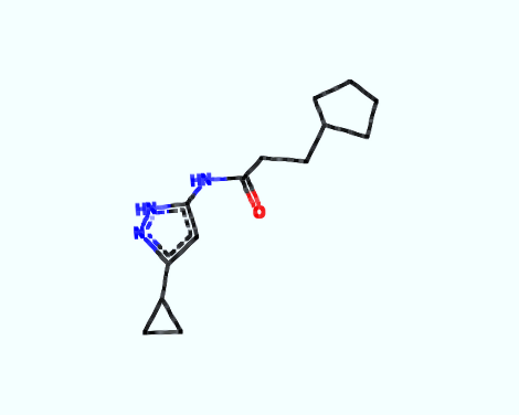 O=C(CCC1CCCC1)Nc1cc(C2CC2)n[nH]1